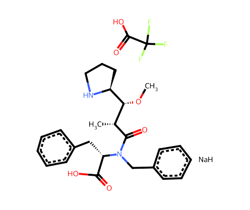 CO[C@@H]([C@@H]1CCCN1)[C@@H](C)C(=O)N(Cc1ccccc1)[C@@H](Cc1ccccc1)C(=O)O.O=C(O)C(F)(F)F.[NaH]